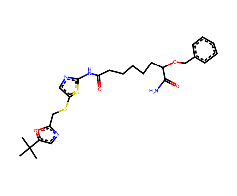 CC(C)(C)c1cnc(CSc2cnc(NC(=O)CCCCCC(OCc3ccccc3)C(N)=O)s2)o1